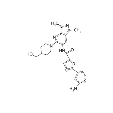 Cc1nn(C)c2nc(N3CCC(CO)CC3)c(NC(=O)c3coc(-c4ccnc(N)c4)n3)cc12